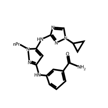 CCCn1nc(Nc2cccc(C(N)=O)c2)cc1Nc1ncn(C2CC2)n1